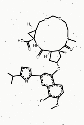 COc1ccc2c(O[C@@H]3C[C@H]4C(=O)N[C@]5(C(=O)O)C[C@H]5CCCCCCN(C)C(=O)[C@@H]4C3)cc(-c3nc(C(C)C)cs3)nc2c1Cl